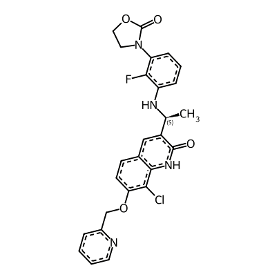 C[C@H](Nc1cccc(N2CCOC2=O)c1F)c1cc2ccc(OCc3ccccn3)c(Cl)c2[nH]c1=O